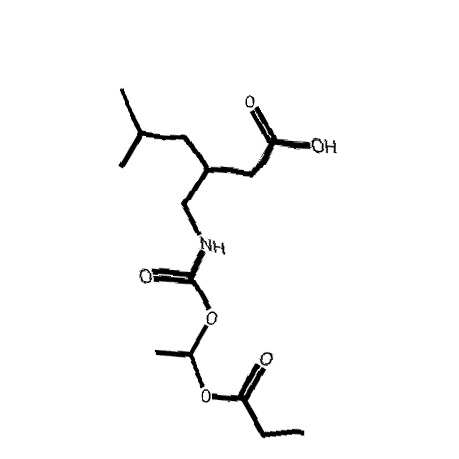 CCC(=O)OC(C)OC(=O)NCC(CC(=O)O)CC(C)C